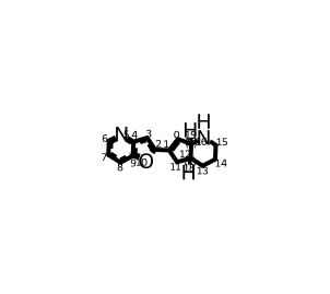 C1=C(c2cc3ncccc3o2)C[C@H]2CCCN[C@@H]12